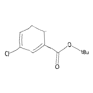 CC(C)(C)OC(=O)C1=CC(Cl)=CC[CH]1